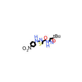 CC(C)(C)c1cc(NC(=O)c2csc(Nc3ccc([N+](=O)[O-])cc3)n2)no1